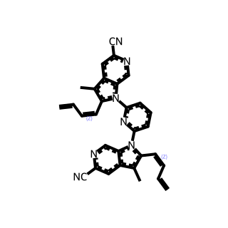 C=C/C=C\c1c(C)c2cc(C#N)ncc2n1-c1cccc(-n2c(/C=C\C=C)c(C)c3cc(C#N)ncc32)n1